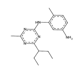 CCC(CC)c1nc(C)nc(Nc2cc(N)ccc2C)n1